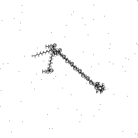 CCCCCCCCCCCN(C(=O)CCCCCCCCCC(=O)O)[C@@H](CCC(=O)NCCOCCOCCOCCOCCOCCOCCOCCOCCC(=O)Oc1c(F)c(F)c(F)c(F)c1F)C(=O)O